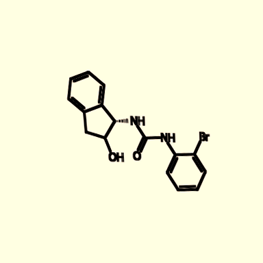 O=C(Nc1ccccc1Br)N[C@H]1c2ccccc2CC1O